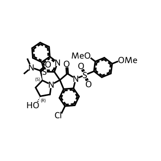 COc1ccc(S(=O)(=O)N2C(=O)C(c3nc4ccccc4s3)(N3C[C@H](O)C[C@H]3C(=O)N(C)C)c3cc(Cl)ccc32)c(OC)c1